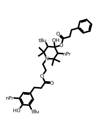 CCCc1cc(CCC(=O)OCCN2C(C)(C)C(CCC)C(O)(OC(=O)CCc3ccccc3)C(C(C)(C)C)C2(C)C)cc(C(C)(C)C)c1O